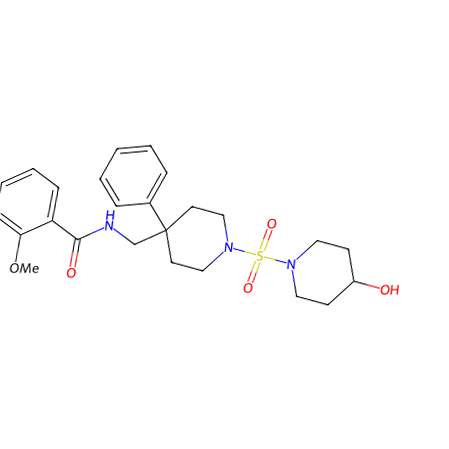 COc1ccccc1C(=O)NCC1(c2ccccc2)CCN(S(=O)(=O)N2CCC(O)CC2)CC1